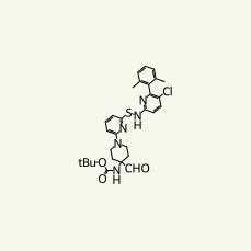 Cc1cccc(C)c1-c1nc(NSc2cccc(N3CCC(C=O)(NC(=O)OC(C)(C)C)CC3)n2)ccc1Cl